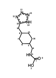 O=C(O)NCC1CCC(Cc2nnn[nH]2)CC1